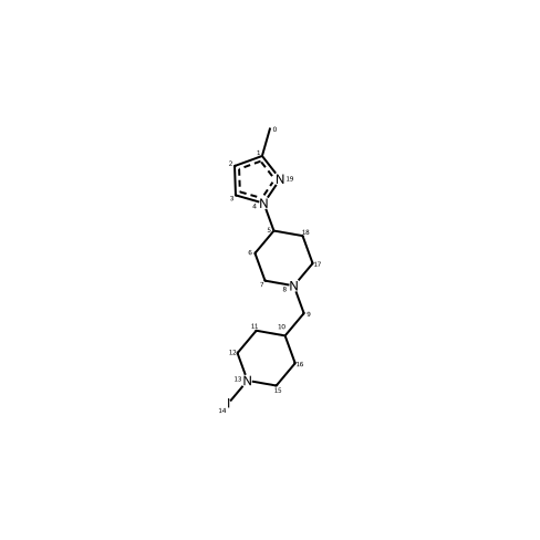 Cc1ccn(C2CCN(CC3CCN(I)CC3)CC2)n1